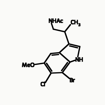 COc1cc2c(C(C)CNC(C)=O)c[nH]c2c(Br)c1Cl